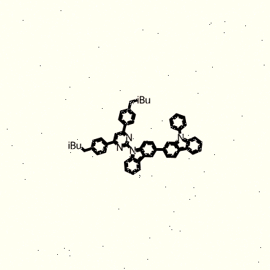 CCC(C)Cc1ccc(-c2cc(-c3ccc(CC(C)CC)cc3)nc(-n3c4ccccc4c4cc(-c5ccc6c7ccccc7n(-c7ccccc7)c6c5)ccc43)n2)cc1